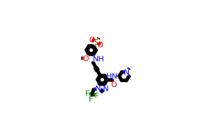 COc1ccc(S(C)(=O)=O)cc1NCC#Cc1cc(C(=O)N[C@H]2CCCN(C)C2)c2ncn(CC(F)(F)F)c2c1